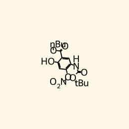 CCCCOC(=O)c1cc(NC(=O)OC(C)(C)C)c(O[N+](=O)[O-])cc1O